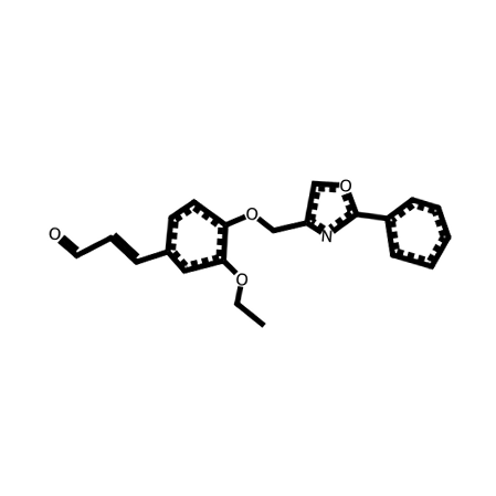 CCOc1cc(C=CC=O)ccc1OCc1coc(-c2ccccc2)n1